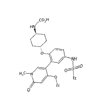 CCOc1cc(=O)n(C)cc1-c1cc(NS(=O)(=O)CC)ccc1O[C@H]1CC[C@H](NC(=O)O)CC1